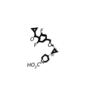 O=C(c1c(F)cc(COC[C@@H]2C[C@@H]2C2CCN(C(=O)O)CC2)cc1F)C1CC1